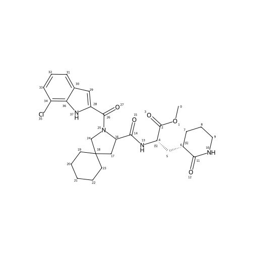 COC(=O)[C@H](C[C@@H]1CCCNC1=O)NC(=O)C1CC2(CCCCC2)CN1C(=O)c1cc2cccc(Cl)c2[nH]1